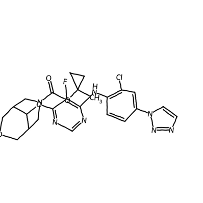 CC1(OC(=O)N2CC3COCC(C2)C3Oc2ncnc(Nc3ccc(-n4ccnn4)cc3Cl)c2F)CC1